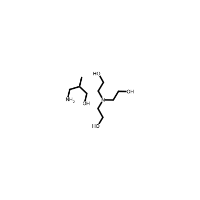 CC(CN)CO.OCCN(CCO)CCO